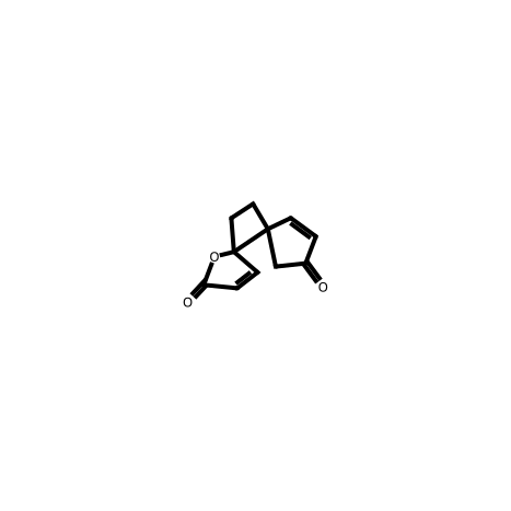 O=C1C=CC2(CCC23C=CC(=O)O3)C1